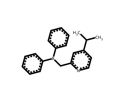 CC(C)c1ccnc(CB(c2ccccc2)c2ccccc2)c1